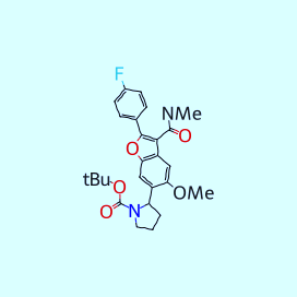 CNC(=O)c1c(-c2ccc(F)cc2)oc2cc(C3CCCN3C(=O)OC(C)(C)C)c(OC)cc12